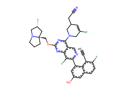 C#Cc1c(F)ccc2cc(O)cc(-c3ncc4c(N5CC(F)=CC(CC#N)C5)nc(OC[C@@]56CCCN5C[C@H](F)C6)nc4c3F)c12